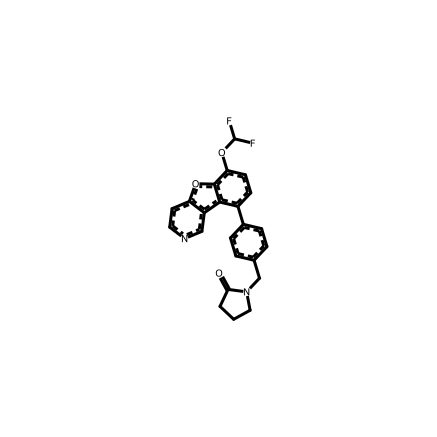 O=C1CCCN1Cc1ccc(-c2ccc(OC(F)F)c3oc4ccncc4c23)cc1